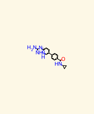 N=C(N)/N=c1/ccc(-c2ccc(C(=O)NC3CC3)cc2)c[nH]1